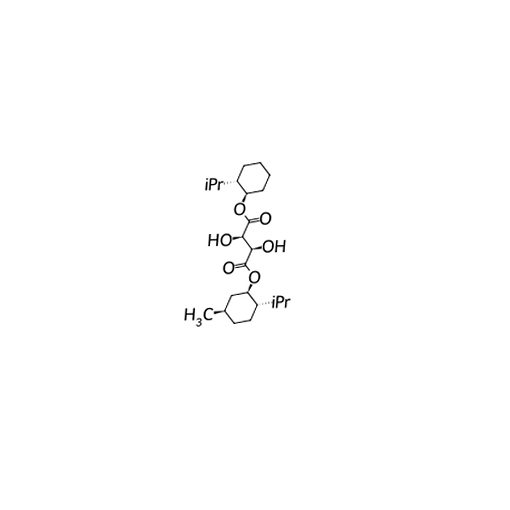 CC(C)[C@@H]1CCCC[C@H]1OC(=O)[C@H](O)[C@@H](O)C(=O)O[C@@H]1C[C@H](C)CC[C@H]1C(C)C